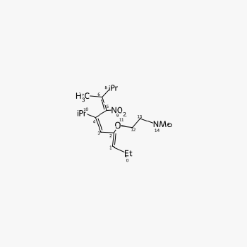 CC/C=C(/C=C(\C(=C(/C)C(C)C)[N+](=O)[O-])C(C)C)OCCNC